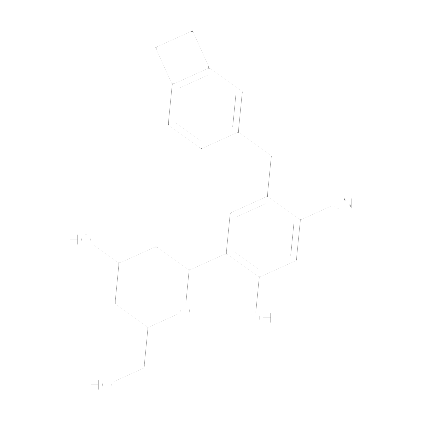 N#Cc1cc(O)c(C2CC(O)CC(CO)O2)cc1Cc1ccc2c(c1)CC2